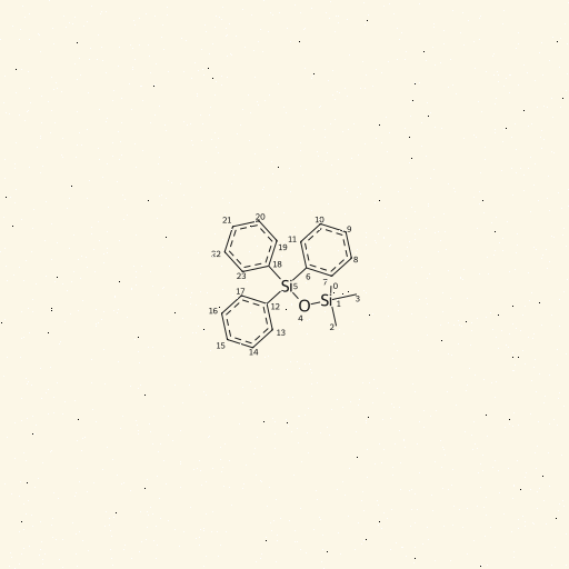 C[Si](C)(C)O[Si](c1ccccc1)(c1ccccc1)c1ccccc1